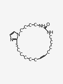 O=C1NCCCC/C=C\CCCCCSc2nccn2CCCCN1